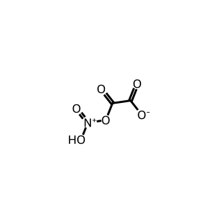 O=C([O-])C(=O)O[N+](=O)O